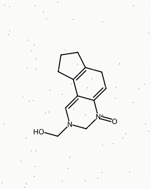 O=[N+]1CN(CO)C=C2C1=CCC1=C2CCC1